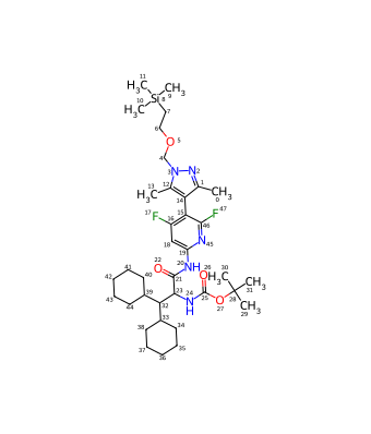 Cc1nn(COCC[Si](C)(C)C)c(C)c1-c1c(F)cc(NC(=O)C(NC(=O)OC(C)(C)C)C(C2CCCCC2)C2CCCCC2)nc1F